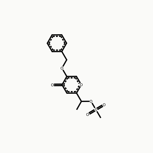 CC(OS(C)(=O)=O)c1cc(=O)c(OCc2ccccc2)co1